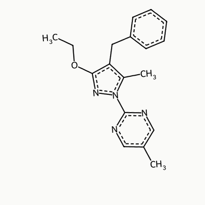 CCOc1nn(-c2ncc(C)cn2)c(C)c1Cc1ccccc1